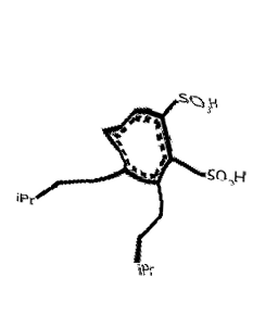 CC(C)CCc1ccc(S(=O)(=O)O)c(S(=O)(=O)O)c1CCC(C)C